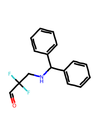 O=CC(F)(F)CNC(c1ccccc1)c1ccccc1